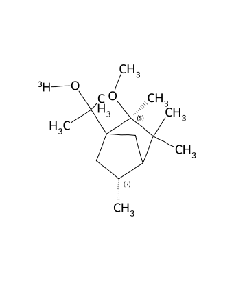 [3H]OC(C)(C)C12CC([C@H](C)C1)C(C)(C)[C@]2(C)OC